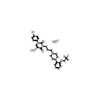 Cc1cn(-c2ccc(F)cc2)c(=O)n(CCCN2CCN(c3ccccc3OCC(F)(F)F)CC2)c1=O.Cl